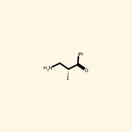 CC(C)C(=O)[C@H](C)CN